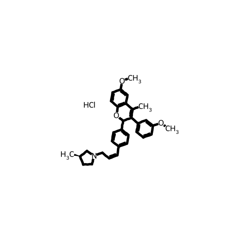 COc1cccc(C2=C(C)c3cc(OC)ccc3OC2c2ccc(/C=C\CN3CC[C@@H](C)C3)cc2)c1.Cl